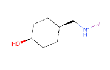 O[C@H]1CC[C@@H](CNI)CC1